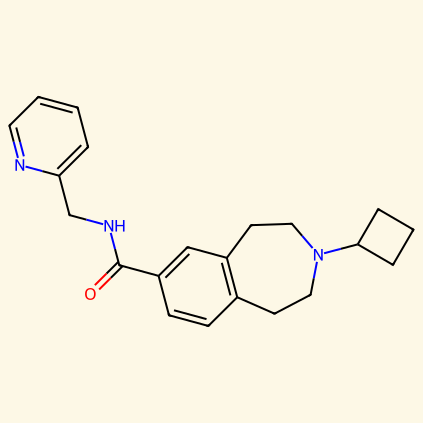 O=C(NCc1ccccn1)c1ccc2c(c1)CCN(C1CCC1)CC2